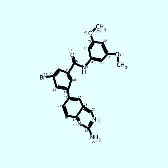 COc1cc(NC(=O)c2cc(Br)cc(-c3ccc4nc(N)ncc4c3)c2)cc(OC)c1